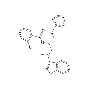 CN(CC(COc1ccccc1)OC(=O)c1ccccc1Cl)C1=NCc2ccccc21